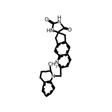 CC1CCc2ccccc2N1Cc1ccc2cc3c(cc2n1)CC1(C3)NC(=O)NC1=O